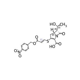 C[C@H](O)[C@@H]1C(=O)N2C(C(=O)O)=C(S/C=C/C(=O)OCc3ccc([N+](=O)[O-])cc3)C[C@H]12